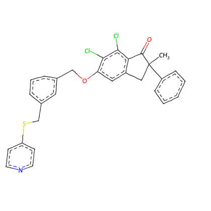 CC1(c2ccccc2)Cc2cc(OCc3cccc(CSc4ccncc4)c3)c(Cl)c(Cl)c2C1=O